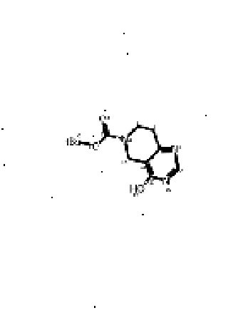 CC(C)(C)OC(=O)N1CCc2ncnc(O)c2C1